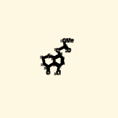 COC(=O)Oc1ccc(Cl)c2c1SCCC2=O